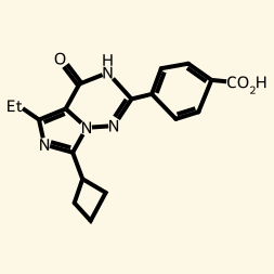 CCc1nc(C2CCC2)n2nc(-c3ccc(C(=O)O)cc3)[nH]c(=O)c12